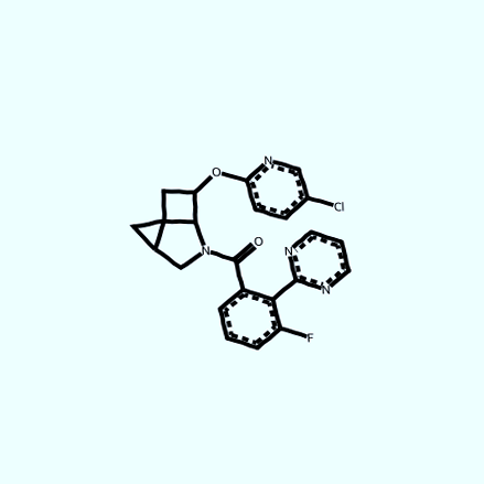 O=C(c1cccc(F)c1-c1ncccn1)N1CC2CC23CC(Oc2ccc(Cl)cn2)C13